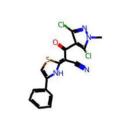 Cn1nc(Cl)c(C(=O)C(C#N)=C2NC(c3ccccc3)=CS2)c1Cl